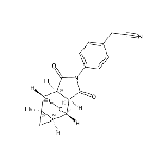 N#CCc1ccc(N2C(=O)[C@@H]3[C@@H]4CC[C@@H]([C@H]5C[C@H]54)[C@@H]3C2=O)cc1